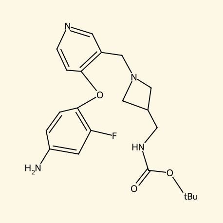 CC(C)(C)OC(=O)NCC1CN(Cc2cnccc2Oc2ccc(N)cc2F)C1